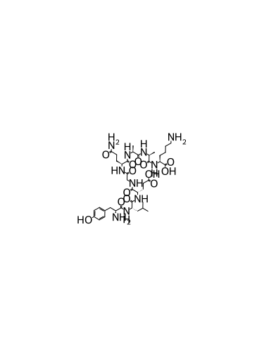 CC(C)C[C@H](NC(=O)[C@@H](N)Cc1ccc(O)cc1)C(=O)N[C@@H](CCC(=O)O)C(=O)NCC(=O)N[C@@H](CCC(N)=O)C(=O)N[C@@H](C)C(=O)N[C@@H](C)C(=O)N[C@@H](CCCCN)C(=O)O